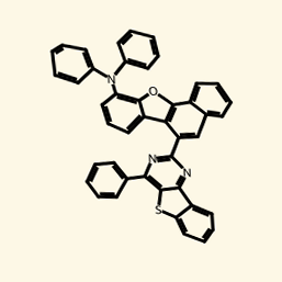 c1ccc(-c2nc(-c3cc4ccccc4c4oc5c(N(c6ccccc6)c6ccccc6)cccc5c34)nc3c2sc2ccccc23)cc1